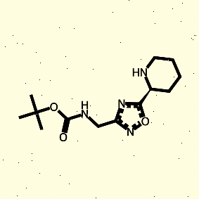 CC(C)(C)OC(=O)NCc1noc([C@@H]2CCCCN2)n1